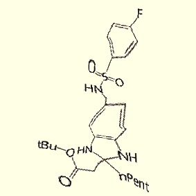 CCCCCC1(CC(=O)OC(C)(C)C)Nc2ccc(NS(=O)(=O)c3ccc(F)cc3)cc2N1